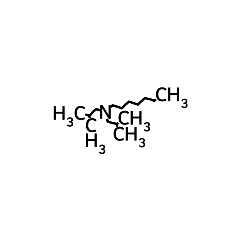 CCCCCCCN(CC(C)C)CC(C)C